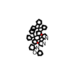 c1ccc(C2(c3ccccc3)c3ccccc3C3(c4cc5c(cc42)C2(c4ccccc4-c4ccccc42)c2ccccc2-5)c2cccnc2-c2ncc(N4c5ccccc5Oc5ccccc54)cc23)cc1